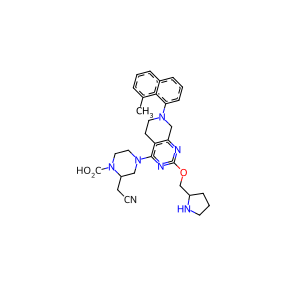 Cc1cccc2cccc(N3CCc4c(nc(OCC5CCCN5)nc4N4CCN(C(=O)O)C(CC#N)C4)C3)c12